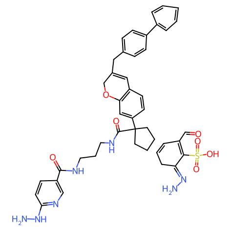 NN=C1CC=CC(C=O)=C1S(=O)(=O)O.NNc1ccc(C(=O)NCCCNC(=O)C2(c3ccc4c(c3)OCC(Cc3ccc(-c5ccccc5)cc3)=C4)CCCC2)cn1